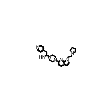 N=C(Cc1ccncc1)N1CCN(c2ccc3ccn(CCN4CCCC4)c3n2)CC1